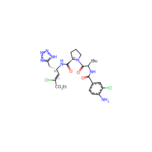 CCOC(=O)/C(Cl)=C/[C@H](Cc1nnn[nH]1)NC(=O)[C@H]1CCCN1C(=O)C(NC(=O)c1ccc(N)c(Cl)c1)C(C)(C)C